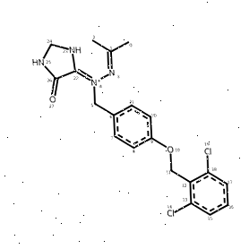 CC(C)=N[N+](Cc1ccc(OCc2c(Cl)cccc2Cl)cc1)=C1NCNC1=O